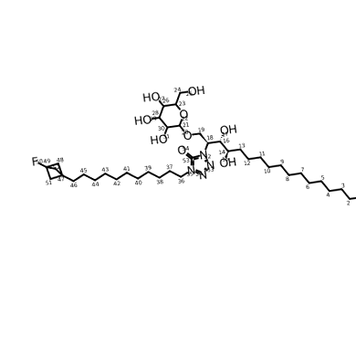 CCCCCCCCCCCCCC[C@@H](O)[C@@H](O)[C@H](COC1OC(CO)C(O)C(O)C1O)n1nnn(CCCCCCCCCCCC23CC(F)(C2)C3)c1=O